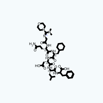 CC(C)C[C@H](NC(=O)[C@H](CC(=O)O)NC(=O)[C@H](CC1CCCCC1)NC(=O)[C@H](CCC(N)=O)NC(=O)C/N=C(\N(C)C)N1CCOCC1)C(=O)NC(Cc1ccccc1)C(=O)O